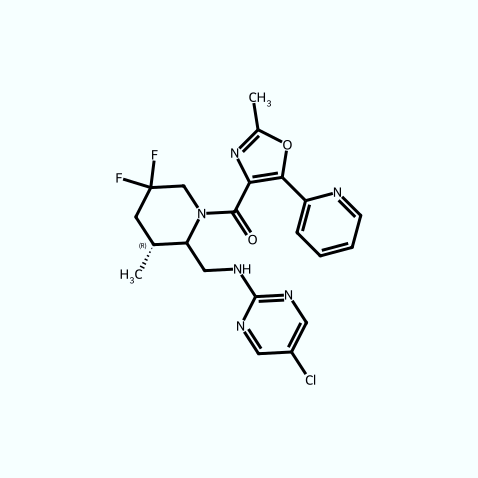 Cc1nc(C(=O)N2CC(F)(F)C[C@@H](C)C2CNc2ncc(Cl)cn2)c(-c2ccccn2)o1